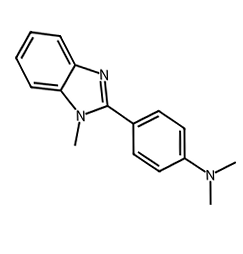 CN(C)c1ccc(-c2nc3ccccc3n2C)cc1